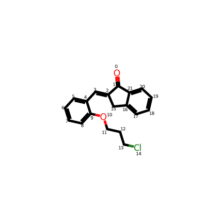 O=C1/C(=C/c2ccccc2OCCCCl)Cc2ccccc21